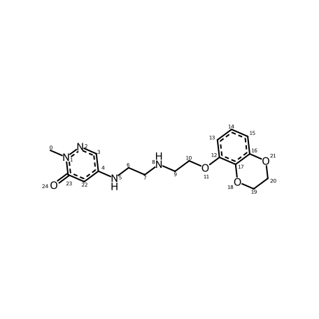 Cn1ncc(NCCNCCOc2cccc3c2OCCO3)cc1=O